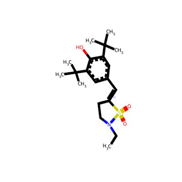 CCN1CC/C(=C\c2cc(C(C)(C)C)c(O)c(C(C)(C)C)c2)S1(=O)=O